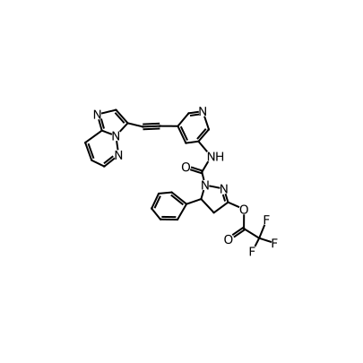 O=C(Nc1cncc(C#Cc2cnc3cccnn23)c1)N1N=C(OC(=O)C(F)(F)F)CC1c1ccccc1